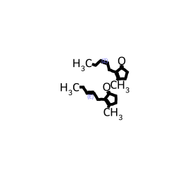 CC/C=C/CC1=C(C)CCC1=O.CC/C=C\CC1=C(C)CCC1=O